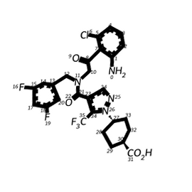 Nc1cccc(Cl)c1C(=O)CN(Cc1cc(F)cc(F)c1)C(=O)c1cnn([C@H]2CC[C@H](C(=O)O)CC2)c1C(F)(F)F